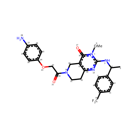 COn1c(NC(C)c2ccc(C(F)(F)F)cc2)nc2c(c1=O)CN(C(=O)COc1ccc(N)cc1)CC2